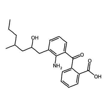 CCCC(C)CC(O)Cc1cccc(C(=O)c2ccccc2C(=O)O)c1N